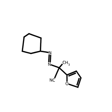 CC(C#N)(N=NC1CCCCC1)c1ccco1